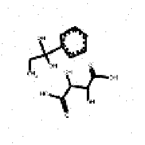 CCC(O)(O)c1ccccc1.O=C(O)C(O)C(O)C(=O)O